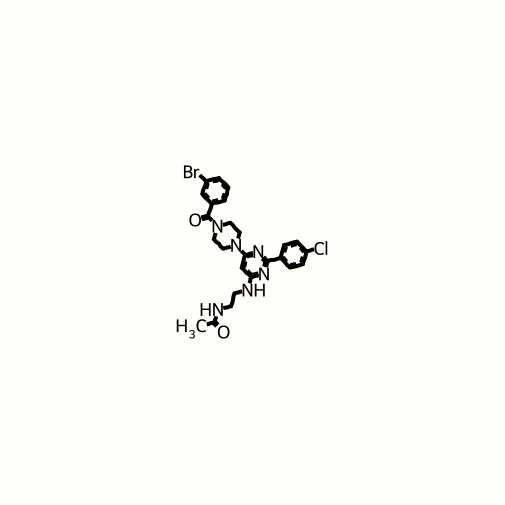 CC(=O)NCCNc1cc(N2CCN(C(=O)c3cccc(Br)c3)CC2)nc(-c2ccc(Cl)cc2)n1